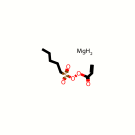 C=CC(=O)OOS(=O)(=O)CCCCC.[MgH2]